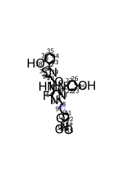 O=C(Nc1c(F)nc(/C=C/c2ccc([N+](=O)[O-])o2)nc1Nc1ccc(O)cc1)c1csc(-c2ccccc2O)n1